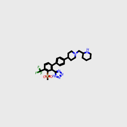 CS(=O)(=O)c1c(C(F)(F)F)ccc(-c2ccc(C3CCN(CC4CCCCN4)CC3)cc2)c1-c1nnn[nH]1